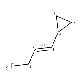 FC/C=C/C1CC1